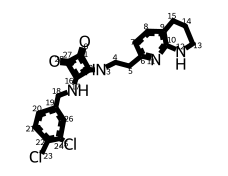 O=c1c(NCCc2ccc3c(n2)NCCC3)c(NCc2ccc(Cl)c(Cl)c2)c1=O